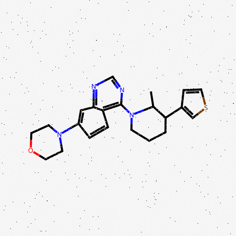 CC1C(c2ccsc2)CCCN1c1ncnc2cc(N3CCOCC3)ccc12